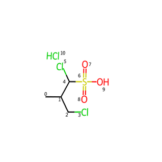 CC(CCl)C(Cl)S(=O)(=O)O.Cl